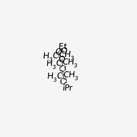 CCC(=O)OC(C)(C)COC(C)(C)c1ccc(C(C)(C)c2ccc(C(C)C)cc2)cc1